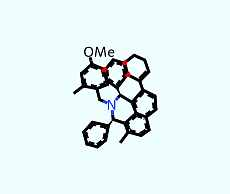 COc1ccc(CN2[C@H](c3ccccc3)c3c(C)ccc4ccc(C5=CCCCC5)c(c34)[C@@H]2c2ccccc2)c(C)c1